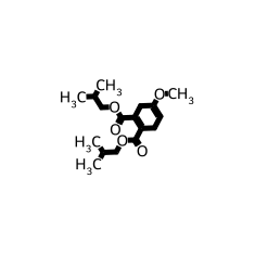 COC1=CCC(C(=O)OCC(C)C)=C(C(=O)OCC(C)C)C1